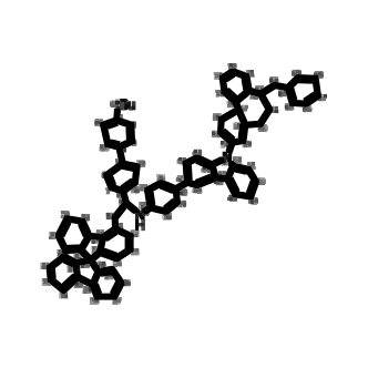 CC(C)(C)c1ccc(-c2ccc(C(Cc3cccc4c3-c3ccccc3C43c4ccccc4-c4ccccc43)Nc3ccc(-c4ccc5c(c4)c4ccccc4n5C4=CCC5C(=C4)CCC(Cc4ccccc4)c4ccccc45)cc3)cc2)cc1